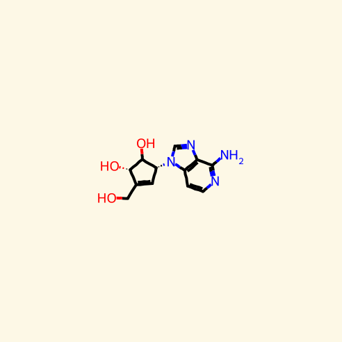 Nc1nccc2c1ncn2[C@@H]1C=C(CO)[C@H](O)C1O